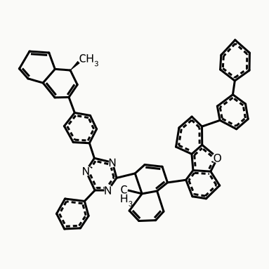 C[C@H]1C=C(c2ccc(-c3nc(-c4ccccc4)nc(C4C=CC(c5cccc6oc7c(-c8cccc(-c9ccccc9)c8)cccc7c56)=C5C=CC=CC54C)n3)cc2)C=C2C=CC=CC21